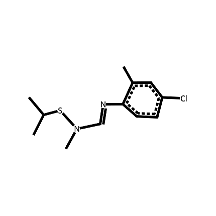 Cc1cc(Cl)ccc1N=CN(C)SC(C)C